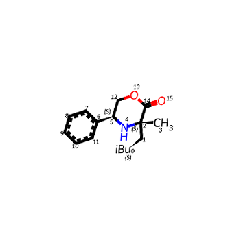 CC[C@H](C)C[C@]1(C)N[C@@H](c2ccccc2)COC1=O